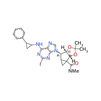 CNC(=O)C12CC1[C@@H](n1cnc3c(NC4CC4c4ccccc4)nc(I)nc31)[C@@H]1OC(C)(C)O[C@@H]12